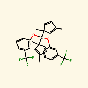 CC1=C[C](C)([Zr]([O]c2cccc(C(F)(F)F)c2)([O]c2cccc(C(F)(F)F)c2)[C]2(C)C=CC(C)=C2)C=C1